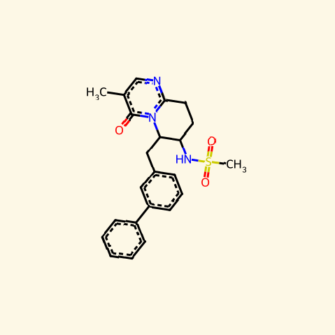 Cc1cnc2n(c1=O)C(Cc1cccc(-c3ccccc3)c1)C(NS(C)(=O)=O)CC2